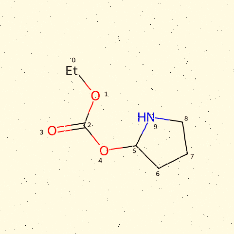 CCOC(=O)OC1CCCN1